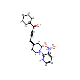 O=C(C#CC=C1CCN(c2ncccc2[N+](=O)[O-])CC1)C1CCCCC1